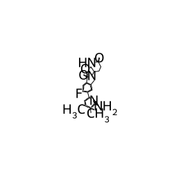 Cc1cc(-c2cc3c(cc2F)C(=O)N(C2CCC(=O)NC2=O)C3)nc(N)c1C